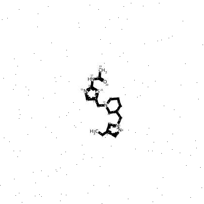 CCc1cnn(CC2CCCN(Cc3cnc(NC(C)=O)s3)C2)c1